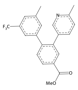 COC(=O)c1ccc(-c2cc(C)cc(C(F)(F)F)c2)c(-c2ccc(C)nc2)c1